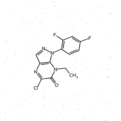 CCn1c(=O)c(Cl)nc2cnn(-c3ccc(F)cc3F)c21